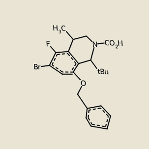 CC1CN(C(=O)O)C(C(C)(C)C)c2c(OCc3ccccc3)cc(Br)c(F)c21